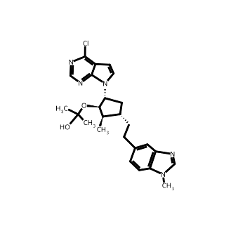 C[C@@H]1[C@@H](CCc2ccc3c(c2)ncn3C)C[C@@H](n2ccc3c(Cl)ncnc32)[C@@H]1OC(C)(C)O